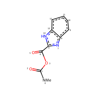 CNC(=O)OC(=O)c1nc2ccccc2[nH]1